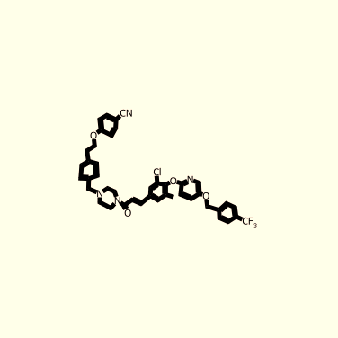 Cc1cc(C=CC(=O)N2CCN(Cc3ccc(CCOc4ccc(C#N)cc4)cc3)CC2)cc(Cl)c1Oc1ccc(OCc2ccc(C(F)(F)F)cc2)cn1